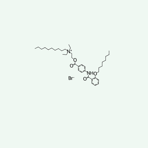 CCCCCCCCCC[N+](CC)(CC)CCOC(=O)c1ccc(NC(=O)c2ccccc2OCCCCCCCC)cc1.[Br-]